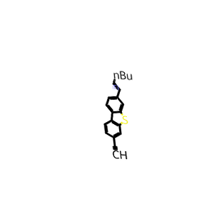 C#Cc1ccc2c(c1)sc1cc(/C=C/CCCC)ccc12